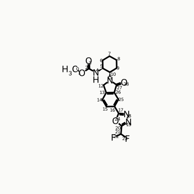 COC(=O)N[C@H]1CCCC[C@H]1N1Cc2ccc(-c3nnc(C(F)F)o3)cc2C1=O